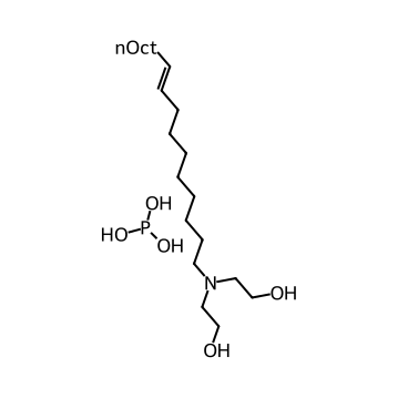 CCCCCCCCC=CCCCCCCCCN(CCO)CCO.OP(O)O